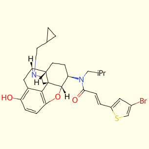 CC(C)CN(C(=O)/C=C/c1cc(Br)cs1)[C@@H]1CC[C@H]2[C@H]3Cc4c(O)ccc5c4[C@@]2(CCN3CC2CC2)[C@H]1O5